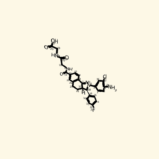 Nc1ccc(N2N=C3c4ccc(C(=O)NCC(=O)NCC(=O)O)cc4CC[C@H]3[C@@H]2c2ccc(F)cc2)cc1Cl